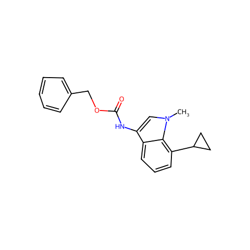 Cn1cc(NC(=O)OCc2ccccc2)c2cccc(C3CC3)c21